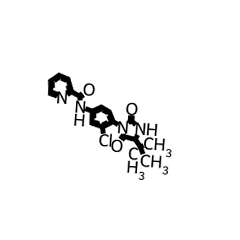 CC(C)(C)C1NC(=O)N(c2ccc(NC(=O)c3ccccn3)cc2Cl)C1=O